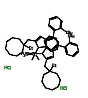 CCC1(CC2=Cc3c(-c4ccccc4C(C)(C)C)cccc3[CH]2[Zr]([CH3])([CH3])(=[SiH2])[CH]2C(CC3(CC)CCCCCCC3)=Cc3c(-c4ccccc4C(C)(C)C)cccc32)CCCCCCC1.Cl.Cl